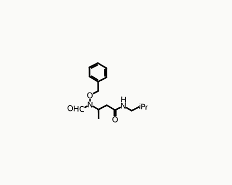 CC(C)CNC(=O)CC(C)N(C=O)OCc1ccccc1